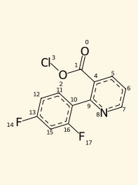 O=C(OCl)c1cccnc1-c1ccc(F)cc1F